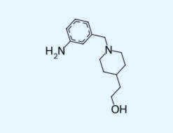 Nc1cccc(CN2CCC(CCO)CC2)c1